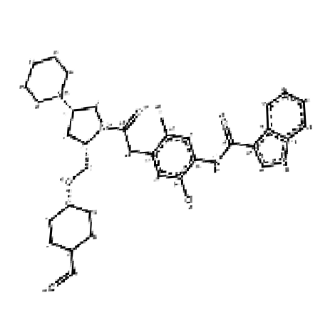 O=C[C@H]1CC[C@H](OC[C@@H]2C[C@H](N3CCCCC3)CN2C(=O)Cc2cc(Cl)c(NC(=O)c3csc4ccccc34)cc2F)CC1